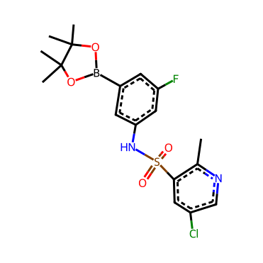 Cc1ncc(Cl)cc1S(=O)(=O)Nc1cc(F)cc(B2OC(C)(C)C(C)(C)O2)c1